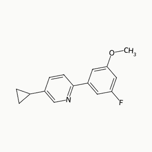 COc1cc(F)cc(-c2ccc(C3CC3)cn2)c1